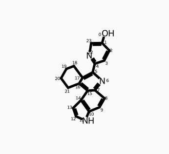 Oc1ccc(-c2nc3ccc4[nH]ccc4c3c3c2CCCC3)nc1